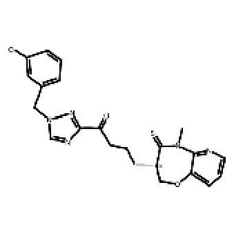 CN1C(=S)[C@@H](CCCC(=O)c2ncn(Cc3cccc(Cl)c3)n2)COc2cccnc21